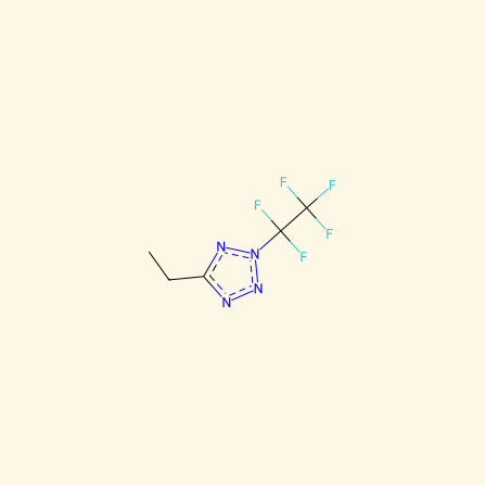 CCc1nnn(C(F)(F)C(F)(F)F)n1